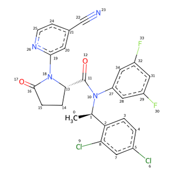 C[C@H](c1ccc(Cl)cc1Cl)N(C(=O)[C@@H]1CCC(=O)N1c1cc(C#N)ccn1)c1cc(F)cc(F)c1